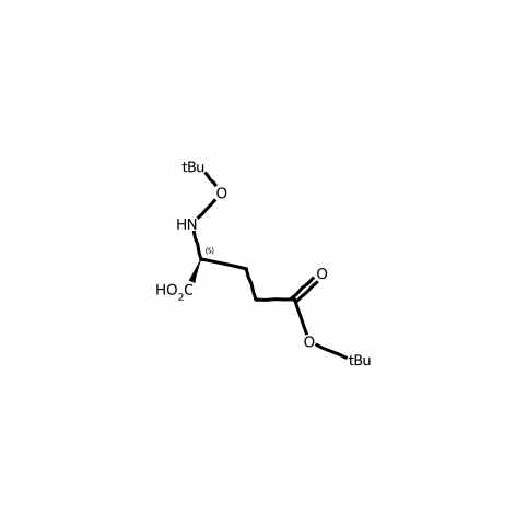 CC(C)(C)ON[C@@H](CCC(=O)OC(C)(C)C)C(=O)O